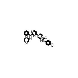 COc1ccc(NC(=O)N2CCN(c3ccnc(Nc4ccccc4N4CCOCC4)n3)CC2)cc1